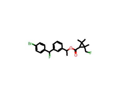 CC(OC(=O)C1C(C)(C)C1(C)CF)c1cccc(C(F)c2ccc(Br)cc2)c1